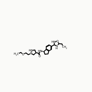 CCOCCN1CC(C(=O)N[C@@H]2CCc3cc(C4NOC(CC)N4)ccc32)CN1